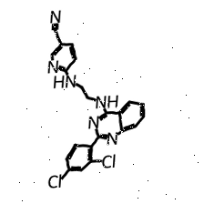 N#Cc1ccc(NCCNc2nc(-c3ccc(Cl)cc3Cl)nc3ccccc23)nc1